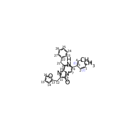 C/C=C\C(=C/C)c1cn2c(=O)c(Cc3ccco3)nc-2c(Cc2ccccc2)[nH]1